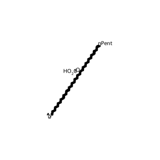 CCCCCC=CCC=CCCCCCCCCC(CCCCCCCCC=CCC=CCCCCCCCCN(C)C)OC(=O)O